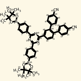 CC1(C)OB(c2ccc(-c3nc(-c4ccc(B5OC(C)(C)C(C)(C)O5)cc4)nc(-c4ccc(-c5ccc(C#N)cc5)c(-c5ccc(C#N)cc5)c4)n3)cc2)OC1(C)C